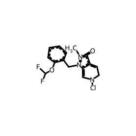 Cn1c(=O)c2c(n1Cc1ccccc1OC(F)F)=CN(Cl)CC=2